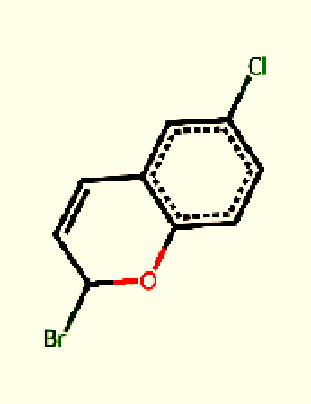 Clc1ccc2c(c1)C=CC(Br)O2